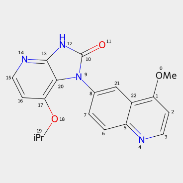 COc1ccnc2ccc(-n3c(=O)[nH]c4nccc(OC(C)C)c43)cc12